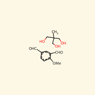 CC(CO)(CO)CO.COc1ccc(C=O)cc1C=O